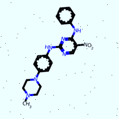 CN1CCN(c2ccc(Nc3ncc([N+](=O)[O-])c(Nc4ccccc4)n3)cc2)CC1